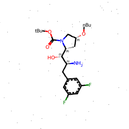 CCCCO[C@@H]1C[C@H]([C@@H](O)[C@@H](N)Cc2cc(F)cc(F)c2)N(C(=O)OC(C)(C)C)C1